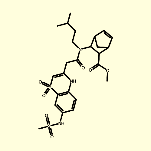 COC(=O)C1C2C=CC(C2)C1N(CCC(C)C)C(=O)CC1=CS(=O)(=O)c2cc(NS(C)(=O)=O)ccc2N1